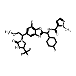 COCC(c1cc(F)c2oc(C(NC(=O)c3ccnn3C)C3CCC(F)CC3)nc2c1)N1CC(C(F)(F)F)NC1=O